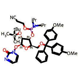 COc1ccc(C(OC[C@H]2O[C@@H](On3cccnc3=O)[C@H](O[Si](C)(C)C(C)(C)C)[C@@H]2OP(OCCC#N)N(C(C)C)C(C)C)(c2ccccc2)c2ccc(OC)cc2)cc1